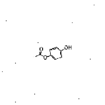 [CH2]C(=O)Oc1ccc(O)cc1